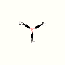 CCC#CB(C#CCC)C#CCC